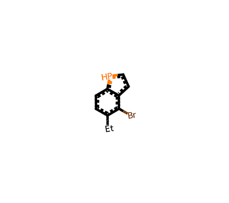 CCc1ccc2[pH]ccc2c1Br